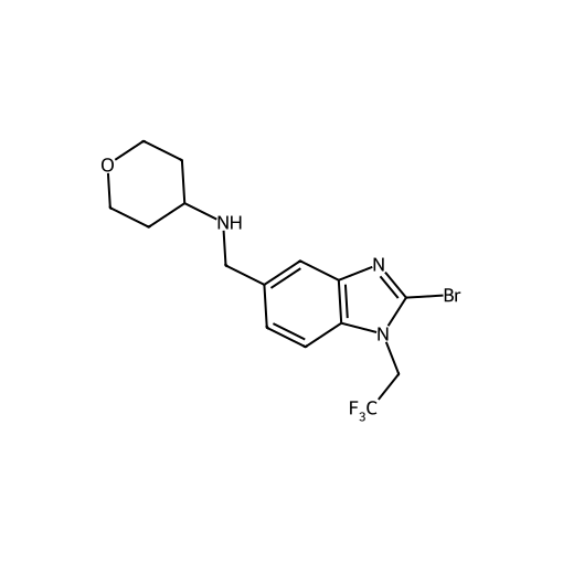 FC(F)(F)Cn1c(Br)nc2cc(CNC3CCOCC3)ccc21